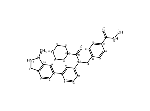 CN1NCc2ccc(-c3cccc(N(Cc4ccc(C(=O)NO)cc4)C(=O)N4CCOCC4)c3)cc21